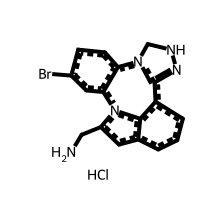 Cl.NCc1cc2cccc3c4n(c5ccc(Br)cc5n1c23)CNN=4